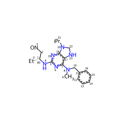 CC[C@H](CN=O)Nc1nc(N(C)Cc2ccccc2)c2c(n1)N(C(C)C)CN2